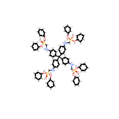 O=P(CNc1ccc(C(c2ccc(NCP(=O)(Oc3ccccc3)Oc3ccccc3)cc2)(c2ccc(NCP(=O)(Oc3ccccc3)Oc3ccccc3)cc2)c2ccc(NCP(=O)(Oc3ccccc3)Oc3ccccc3)cc2)cc1)(Oc1ccccc1)Oc1ccccc1